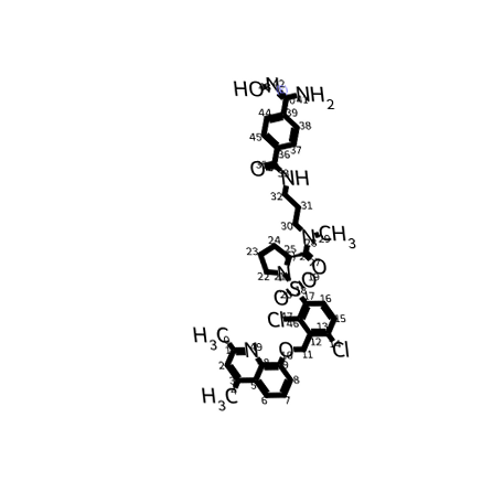 Cc1cc(C)c2cccc(OCc3c(Cl)ccc(S(=O)(=O)N4CCC[C@H]4C(=O)N(C)CCCNC(=O)c4ccc(/C(N)=N\O)cc4)c3Cl)c2n1